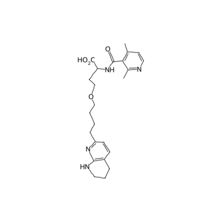 Cc1ccnc(C)c1C(=O)NC(CCOCCCCc1ccc2c(n1)NCCC2)C(=O)O